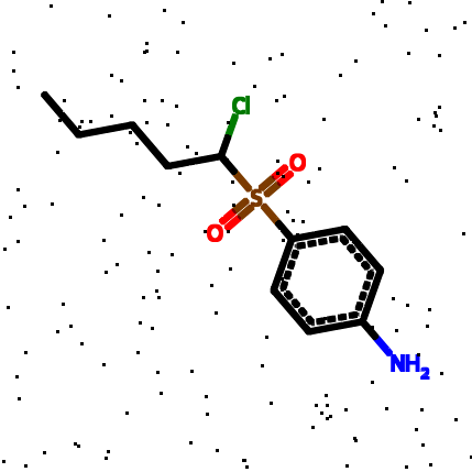 CCCCC(Cl)S(=O)(=O)c1ccc(N)cc1